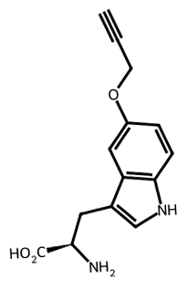 C#CCOc1ccc2[nH]cc(C[C@@H](N)C(=O)O)c2c1